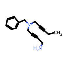 CCC#CCN(CC#CCN)Cc1ccccc1